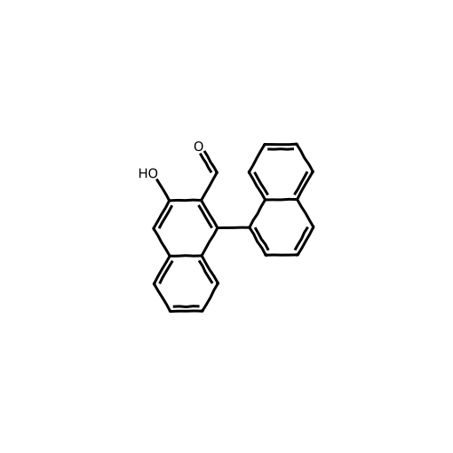 O=Cc1c(O)cc2ccccc2c1-c1cccc2ccccc12